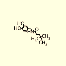 CCC(C)(C)CCC(=O)NCc1ccc(O)c(O)c1